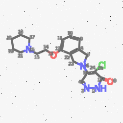 O=c1[nH]ncc(N2Cc3cccc(OCCN4CCCCC4)c3C2)c1Cl